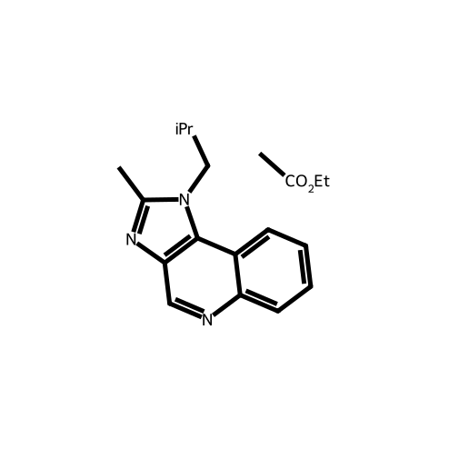 CCOC(C)=O.Cc1nc2cnc3ccccc3c2n1CC(C)C